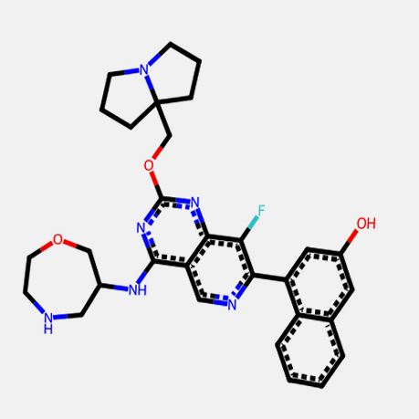 Oc1cc(-c2ncc3c(NC4CNCCOC4)nc(OCC45CCCN4CCC5)nc3c2F)c2ccccc2c1